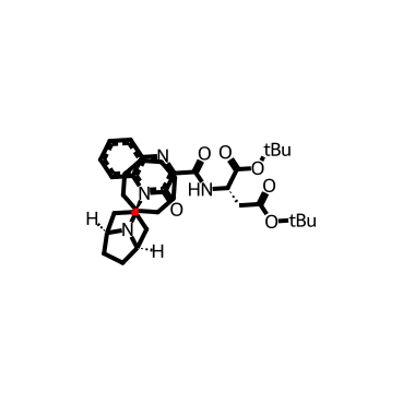 CC(C)(C)OC(=O)C[C@H](NC(=O)c1nc2ccccc2n([C@H]2C[C@H]3CC[C@@H](C2)N3C2CCCCCCC2)c1=O)C(=O)OC(C)(C)C